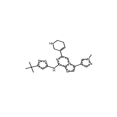 Cn1cc(-c2cnc3c(Nc4cc(C(C)(C)C)ns4)nc(C4=CCCNC4)cn23)cn1